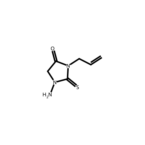 C=CCN1C(=O)CN(N)C1=S